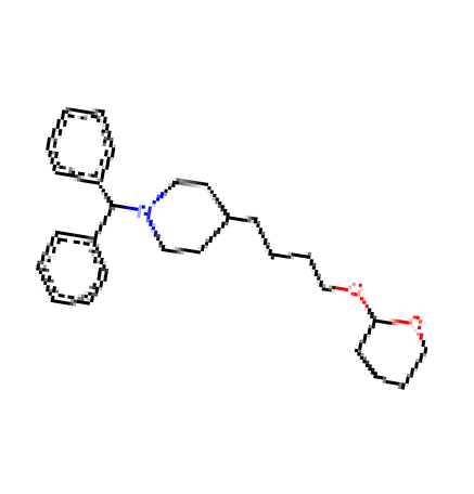 c1ccc(C(c2ccccc2)N2CCC(CCCCOC3CCCCO3)CC2)cc1